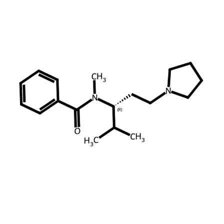 CC(C)[C@@H](CCN1CCCC1)N(C)C(=O)c1ccccc1